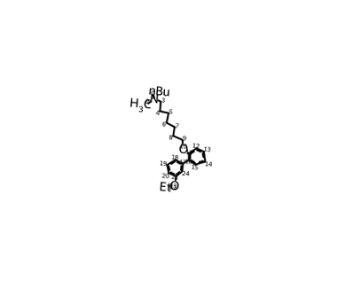 CCCCN(C)CCCCCCCOc1ccccc1-c1cccc(OCC)c1